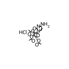 CC(=O)OC[C@H]1O[C@@H](n2ccc(N)nc2=O)[C@H](OC(C)=O)[C@@H]1OC(C)=O.Cl